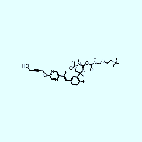 CN1C(OC(=O)NCOCC[Si](C)(C)C)=NC(C)(c2cc(C=C(F)c3cnc(OCC#CCO)cn3)ccc2F)CS1(=O)=O